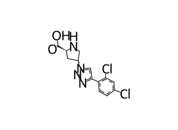 O=C(O)[C@@H]1C[C@H](n2cc(-c3ccc(Cl)cc3Cl)nn2)CN1